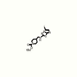 CC(C)(C)OC(=O)N1CCC(CNc2nn3c(I)cnc3s2)CC1